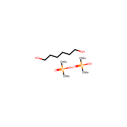 COP(=O)(O)OC.COP(=O)(O)OC.OCCCCCCO